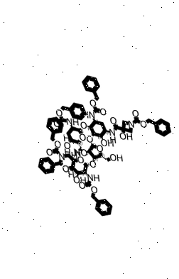 NC[C@H]1O[C@H](O[C@H]2[C@H](O[C@@H]3O[C@H](CO)[C@@H](O[C@H]4O[C@H]5CN(C(=O)OCc6ccccc6)C(c6ccccc6)O[C@H]5[C@H](O)[C@H]4NC(=O)OCc4ccccc4)[C@H]3O)[C@@H](O)[C@H](NC(=O)C3(O)CN(C(=O)OCc4ccccc4)C3)C[C@@H]2NC(=O)OCc2ccccc2)[C@H](NC(=O)OCc2ccccc2)C[C@H]1O